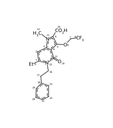 CCc1cc2c(c(OCC(F)(F)F)c(C(=O)O)n2C)c(=O)n1CCc1ccccc1